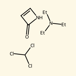 CCN(CC)CC.ClC(Cl)Cl.O=C1C=CN1